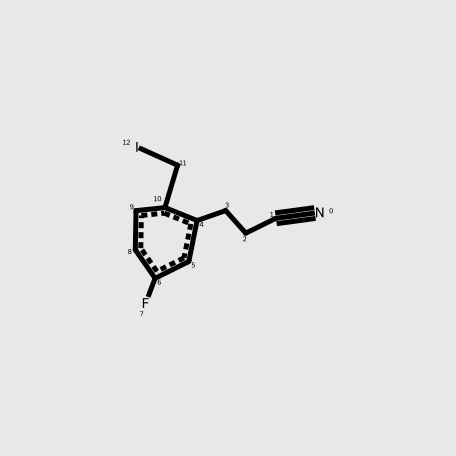 N#CCCc1cc(F)ccc1CI